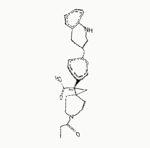 CCC(=O)N1CCC2(CC1)C[C@]2(C(=O)O)c1ccc(C2CNc3ccccc3C2)cc1